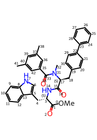 COC(=O)[C@H](Cc1c[nH]c2ccccc12)NC(=O)[C@H](Cc1ccc(-c2ccccc2)cc1)N(C)C(=O)c1cc(C)cc(C)c1